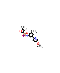 COc1ccc(-c2cc(C)cc(NS(=O)(=O)c3coc(C)c3)c2)nc1